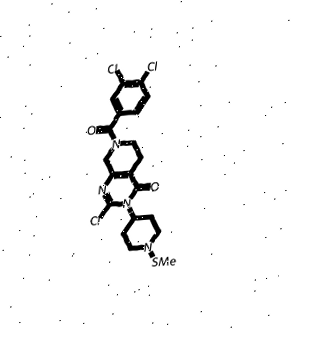 CSN1CCC(n2c(Cl)nc3c(c2=O)CCN(C(=O)c2ccc(Cl)c(Cl)c2)C3)CC1